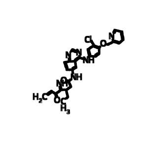 C=CC(=O)C(=N)C(CC)CC(=O)Nc1ccc2ncnc(Nc3ccc(OCc4ccccn4)c(Cl)c3)c2c1